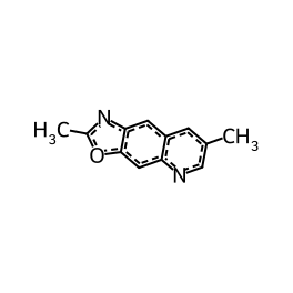 Cc1cnc2cc3oc(C)nc3cc2c1